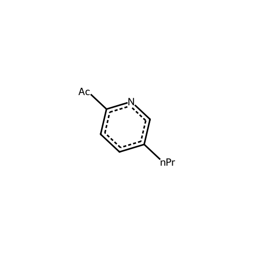 CCCc1ccc(C(C)=O)nc1